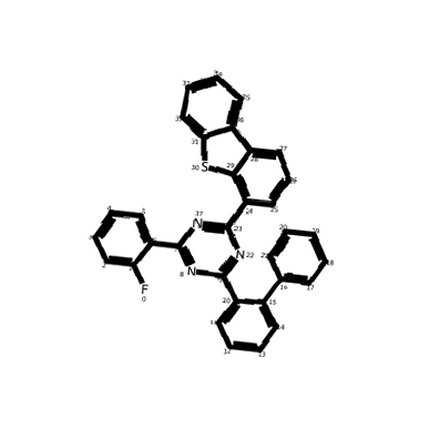 Fc1ccccc1-c1nc(-c2ccccc2-c2ccccc2)nc(-c2cccc3c2sc2ccccc23)n1